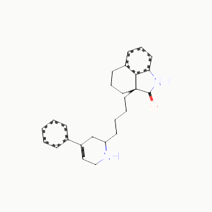 O=C1Nc2cccc3c2C1(CCCCC1CC(c2ccccc2)=CCN1)CCC3